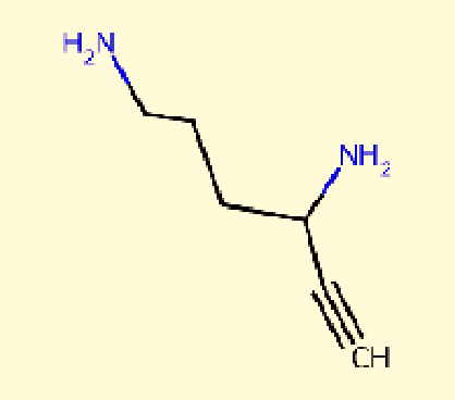 C#CC(N)CCCN